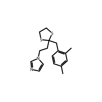 Cc1ccc(CC2(CCn3ccnc3)SCCS2)c(C)c1